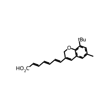 Cc1cc2c(c(C(C)(C)C)c1)OCC(/C=C/C=C/C=C/C(=O)O)=C2